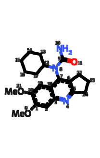 COc1cc2nc3c(c(N(C(N)=O)C4CCCCC4)c2cc1OC)CCC3